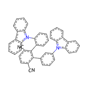 N#Cc1ccc(C#N)c(-c2ccccc2-n2c3ccccc3c3ccccc32)c1-c1cccc(-n2c3ccccc3c3ccccc32)c1